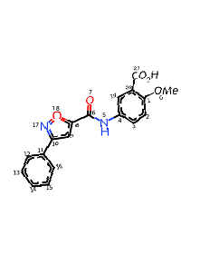 COc1ccc(NC(=O)c2cc(-c3ccccc3)no2)cc1C(=O)O